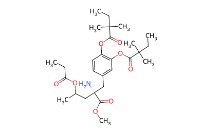 CCC(=O)OC(C)C[C@@](N)(Cc1ccc(OC(=O)C(C)(C)CC)c(OC(=O)C(C)(C)CC)c1)C(=O)OC